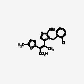 CCCCc1ncc(C(C)=C(C(=O)O)c2ccc(C)o2)n1Cc1ccccc1Cl